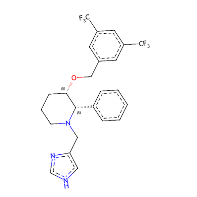 FC(F)(F)c1cc(CO[C@H]2CCCN(Cc3c[nH]cn3)[C@H]2c2ccccc2)cc(C(F)(F)F)c1